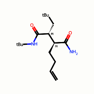 C=CCC[C@H](C(N)=O)[C@@H](CC(C)(C)C)C(=O)NC(C)(C)C